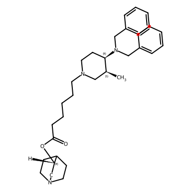 C[C@H]1CN(CCCCCC(=O)O[C@H]2CN3CCC2CC3)CC[C@H]1N(Cc1ccccc1)Cc1ccccc1